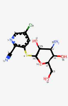 N#Cc1ncc(Cl)cc1SC1OC(CO)C(O)C(N)C1O